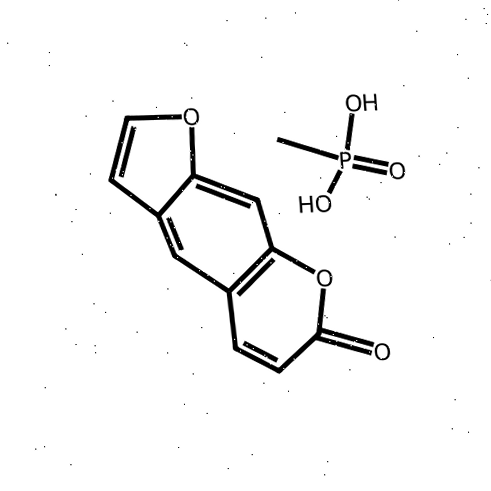 CP(=O)(O)O.O=c1ccc2cc3ccoc3cc2o1